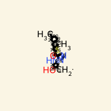 [CH2][C@@H]1C[C@@H](Nc2ncncc2C(=O)c2cc(Cc3cccc(C)c3)c(C)s2)C[C@@H]1O